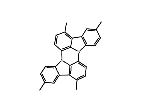 Cc1ccc2c(c1)c1c(C)ccc3c1n2c1ccc(C)c2c4cc(C)ccc4n3c21